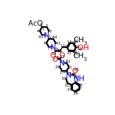 CC(=O)OC1CCN(C2CCN(C(=O)[C@@H](Cc3cc(C)c(O)c(C)c3)OC(=O)N3CCC(N4CCc5ccccc5NC4=O)CC3)CC2)CC1